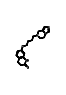 O=C1CCc2ccc(OCCCCN3CCn4cncc4C3)cc2N1